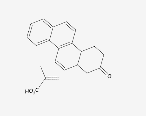 C=C(C)C(=O)O.O=C1CCC2c3ccc4ccccc4c3C=CC2C1